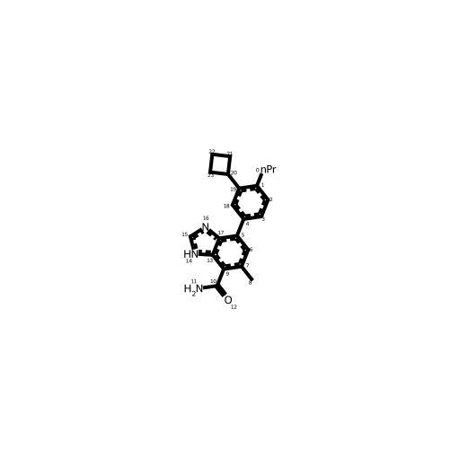 CCCc1ccc(-c2cc(C)c(C(N)=O)c3[nH]cnc23)cc1C1CCC1